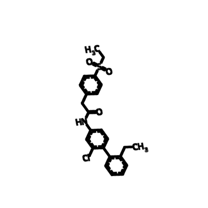 CCc1ccccc1-c1ccc(NC(=O)Cc2ccc(S(=O)(=O)CC)cc2)cc1Cl